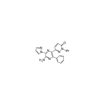 CC(C)n1nc(-c2nc(-n3cccn3)c(N)nc2-c2ccccc2)ccc1=O